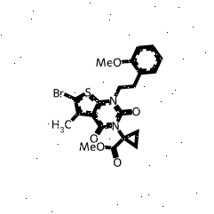 COC(=O)C1(n2c(=O)c3c(C)c(Br)sc3n(CCc3ccccc3OC)c2=O)CC1